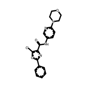 O=C(Nc1ccc(N2CCOCC2)nc1)c1nc(-c2ccccc2)oc1Cl